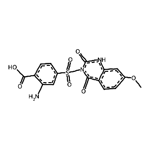 COc1ccc2c(=O)n(S(=O)(=O)c3ccc(C(=O)O)c(N)c3)c(=O)[nH]c2c1